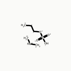 CCCOS(=O)(=O)O.CNC